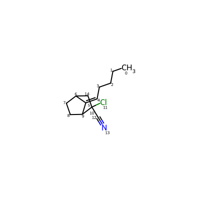 CCCCC=C1C2CCC1C(Cl)(C#N)C2